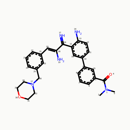 CN(C)C(=O)c1cccc(-c2ccc(N)c(C(=N)/C(N)=C/c3cccc(CN4CCOCC4)c3)c2)c1